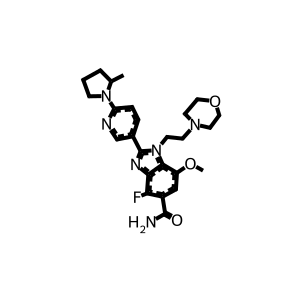 COc1cc(C(N)=O)c(F)c2nc(-c3ccc(N4CCCC4C)nc3)n(CCN3CCOCC3)c12